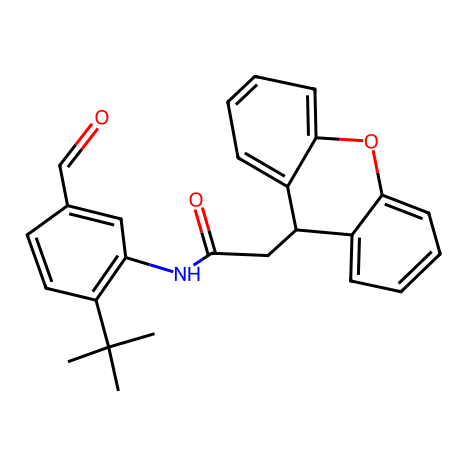 CC(C)(C)c1ccc(C=O)cc1NC(=O)CC1c2ccccc2Oc2ccccc21